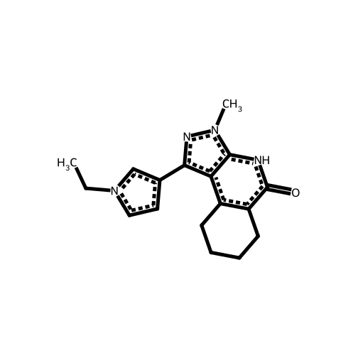 CCn1ccc(-c2nn(C)c3[nH]c(=O)c4c(c23)CCCC4)c1